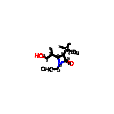 CC(CO)C1C([Si](C)(C)C(C)(C)C)C(=O)N1CC=O